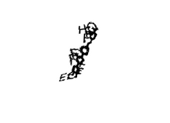 CCOc1ccc(-c2ccc(C3CC=C(CCc4ccc(C(C)O)c(F)c4F)CC3)c(F)c2F)c(F)c1F